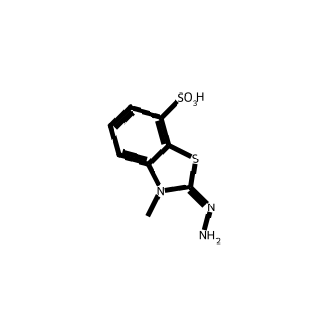 Cn1/c(=N\N)sc2c(S(=O)(=O)O)cccc21